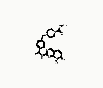 CCn1c(=O)ccc2cnc(NC(C)c3ccc(CN4CCN(C(=O)OC(C)(C)C)CC4)cc3)nc21